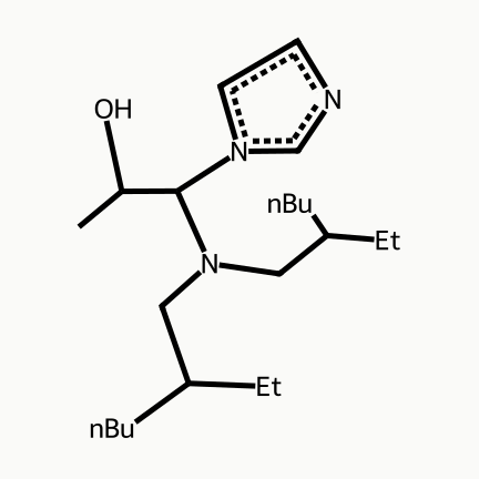 CCCCC(CC)CN(CC(CC)CCCC)C(C(C)O)n1ccnc1